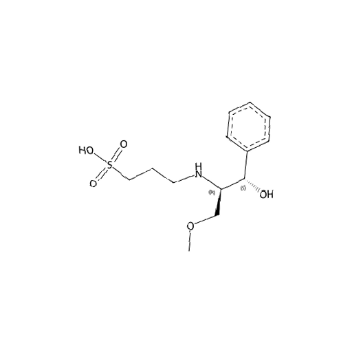 COC[C@@H](NCCCS(=O)(=O)O)[C@@H](O)c1ccccc1